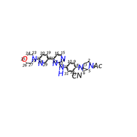 CC(=O)N1CC2CC1CN2c1ccc(Nc2nccc(-c3ccc(N4CCOCC4)nc3)n2)cc1C#N